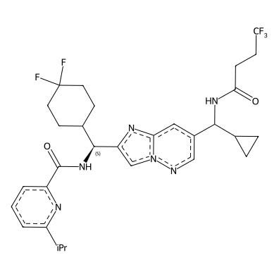 CC(C)c1cccc(C(=O)N[C@H](c2cn3ncc(C(NC(=O)CCC(F)(F)F)C4CC4)cc3n2)C2CCC(F)(F)CC2)n1